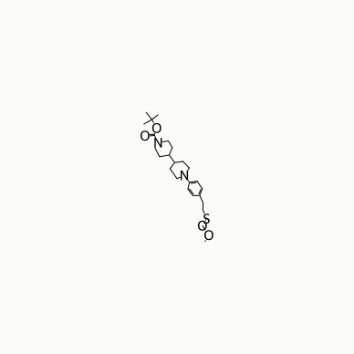 COOSCCc1ccc(N2CCC(C3CCN(C(=O)OC(C)(C)C)CC3)CC2)cc1